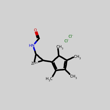 CC1=C(C)C(C)C([CH]2[Zr+2][CH]2NC=O)=C1C.[Cl-].[Cl-]